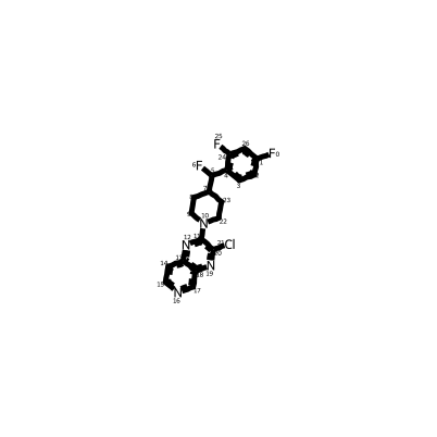 Fc1ccc(C(F)C2CCN(c3nc4ccncc4nc3Cl)CC2)c(F)c1